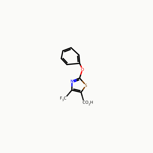 O=C(O)c1sc(Oc2ccccc2)nc1C(F)(F)F